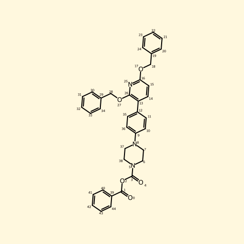 O=C(OC(=O)N1CCN(c2ccc(-c3ccc(OCc4ccccc4)nc3OCc3ccccc3)cc2)CC1)c1ccccc1